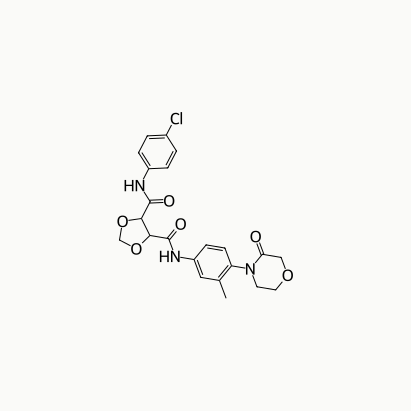 Cc1cc(NC(=O)C2OCOC2C(=O)Nc2ccc(Cl)cc2)ccc1N1CCOCC1=O